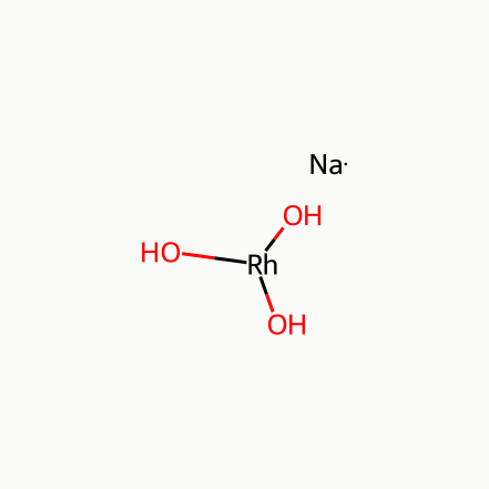 [Na].[OH][Rh]([OH])[OH]